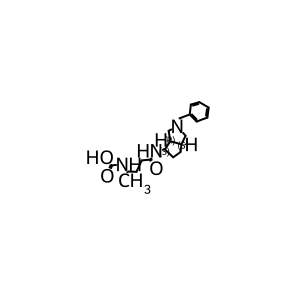 CC(CCC(=O)N[C@H]1CC[C@@H]2CN(Cc3ccccc3)C[C@@H]21)NC(=O)O